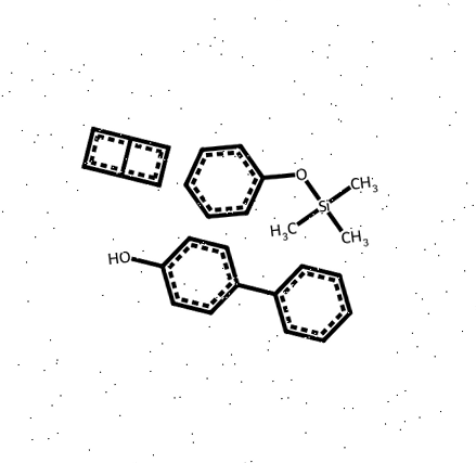 C[Si](C)(C)Oc1ccccc1.Oc1ccc(-c2ccccc2)cc1.c1cc2ccc1-2